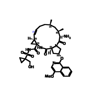 COc1cnc(O[C@@H]2C[C@H]3C(=O)N[C@]4(C(=O)NS(=O)(=O)C5(CO)CC5)C[C@H]4/C=C\CC[C@@H](C)C[C@@H](C)[C@H](N)C(=O)N3C2)c2ccccc12